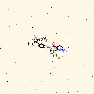 Cc1noc(C)c1-c1ccc2nc(N(C#N)C(=O)[C@H]3CCN[C@H]3C)sc2c1